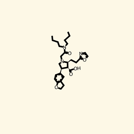 CCCCN(CCCC)C(=O)CN1C[C@H](c2ccc3c(c2)CCO3)[C@@H](C(=O)O)[C@@H]1CCc1ncco1